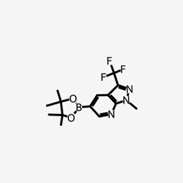 Cn1nc(C(F)(F)F)c2cc(B3OC(C)(C)C(C)(C)O3)cnc21